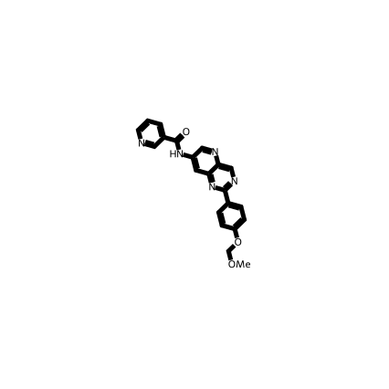 COCOc1ccc(-c2ncc3ncc(NC(=O)c4cccnc4)cc3n2)cc1